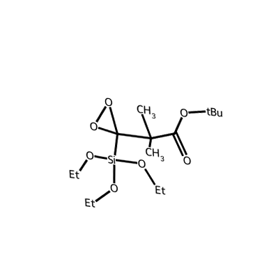 CCO[Si](OCC)(OCC)C1(C(C)(C)C(=O)OC(C)(C)C)OO1